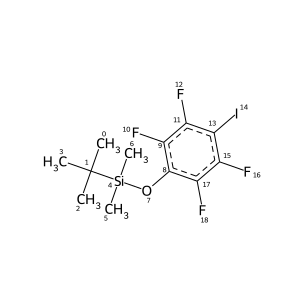 CC(C)(C)[Si](C)(C)Oc1c(F)c(F)c(I)c(F)c1F